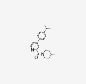 CC1CCN(C(=O)c2cc(-c3ccc(C(C)C)cc3)ccn2)CC1